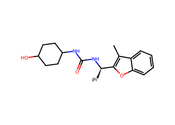 Cc1c([C@H](NC(=O)NC2CCC(O)CC2)C(C)C)oc2ccccc12